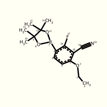 CCOc1ccc(B2OC(C)(C)C(C)(C)O2)c(F)c1C#N